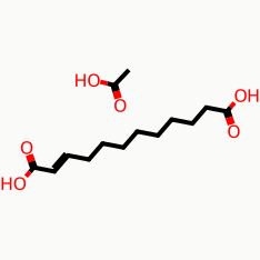 CC(=O)O.O=C(O)C=CCCCCCCCCC(=O)O